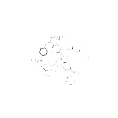 CNC(=O)C(Cc1ccc(C(=N)N)cc1)C(=O)N[C@@H](CCC(=O)OC(=O)C(F)(F)F)C(=O)N[C@@H](CCCNC(=N)N)C(=O)N[C@@H](CC1CCCCC1)C(N)=O